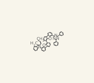 C=C/C=C\c1c(C)c2ccccc2n1-c1cccc2c1oc1c(-c3cccc4c3oc3c(-c5nc(-c6ccccc6)nc(-c6ccccc6)n5)cccc34)cccc12